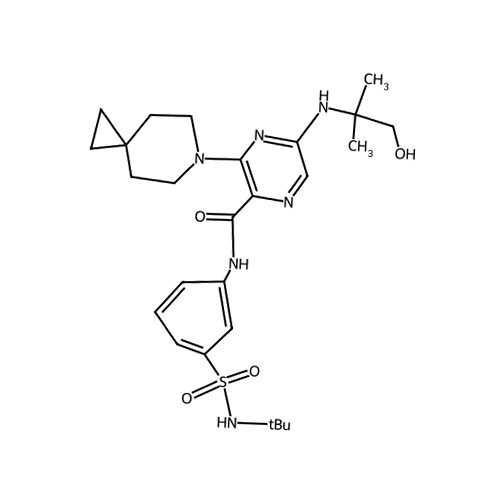 CC(C)(C)NS(=O)(=O)c1cccc(NC(=O)c2ncc(NC(C)(C)CO)nc2N2CCC3(CC2)CC3)c1